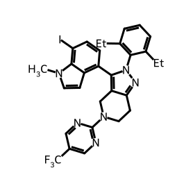 CCc1cccc(CC)c1-n1nc2c(c1-c1ccc(I)c3c1ccn3C)CN(c1ncc(C(F)(F)F)cn1)CC2